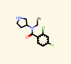 CC(C)CN(C(=O)c1ccc(F)cc1Cl)C1CCNC1